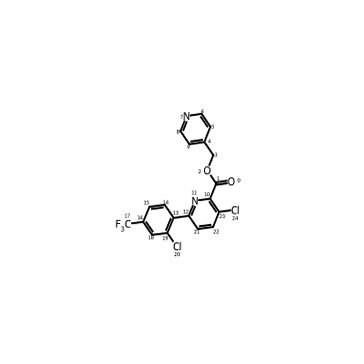 O=C(OCc1ccncc1)c1nc(-c2ccc(C(F)(F)F)cc2Cl)ccc1Cl